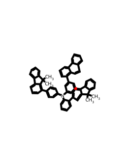 CC1(C)c2ccccc2-c2ccc(-c3ccccc3N(c3ccc(-c4cccc5c4C(C)(C)c4ccccc4-5)cc3)c3cccc(-c4cccc5c4ccc4ccccc45)c3)cc21